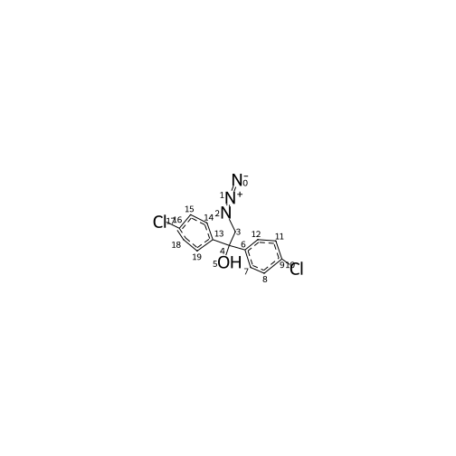 [N-]=[N+]=NCC(O)(c1ccc(Cl)cc1)c1ccc(Cl)cc1